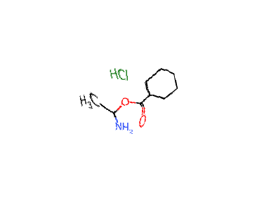 CC(N)OC(=O)C1CCCCC1.Cl